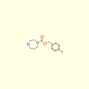 O=C(OCc1ccc(I)cc1)N1CCC[N]CC1